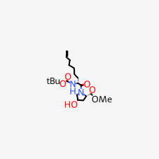 C=CCCCCC[C@@H](NC(=O)OC(C)(C)C)C(=O)N1C[C@@H](O)C[C@H]1C(=O)OC